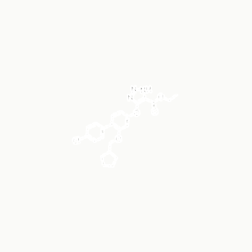 CCOC(=O)c1[nH]nnc1Oc1ccc(-c2ccc(Cl)cc2)c(OCC2CCCC2)c1